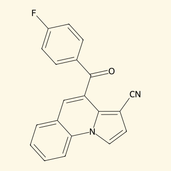 N#Cc1ccn2c1c(C(=O)c1ccc(F)cc1)cc1ccccc12